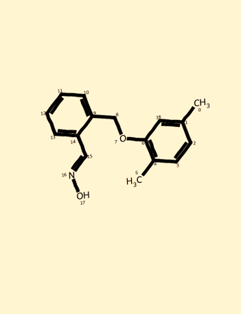 Cc1ccc(C)c(OCc2ccccc2C=NO)c1